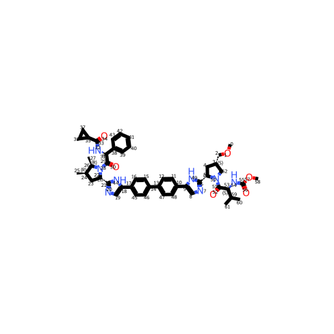 COC[C@H]1C[C@@H](c2ncc(-c3ccc(-c4ccc(-c5cnc([C@@H]6C[C@@H](C)[C@@H](C)N6C(=O)[C@H](NC(=O)C6CC6)c6ccccc6)[nH]5)cc4)cc3)[nH]2)N(C(=O)[C@@H](NC(=O)OC)C(C)C)C1